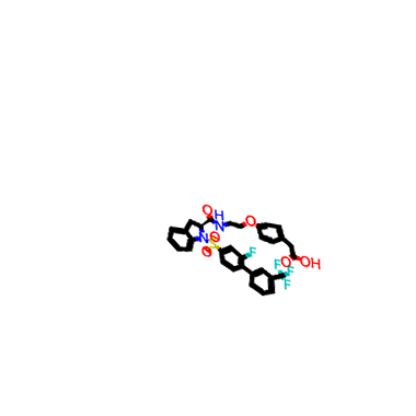 O=C(O)Cc1ccc(OCCNC(=O)[C@@H]2Cc3ccccc3N2S(=O)(=O)c2ccc(-c3cccc(C(F)(F)F)c3)c(F)c2)cc1